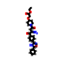 CCOC(=O)COC1CCN(C(=O)CC(N)C(=O)c2ccc(C3=NOC(c4ccccc4)N3)cc2)CC1